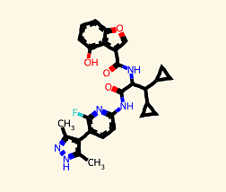 Cc1n[nH]c(C)c1-c1ccc(NC(=O)C(NC(=O)c2coc3cccc(O)c23)C(C2CC2)C2CC2)nc1F